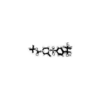 CC1CN(C(=O)OC(C)(C)C)CCN1S(=O)(=O)c1ccc(C(C)(O)C(F)(F)F)cc1